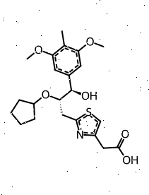 COc1cc([C@@H](O)[C@H](Cc2nc(CC(=O)O)cs2)OC2CCCC2)cc(OC)c1C